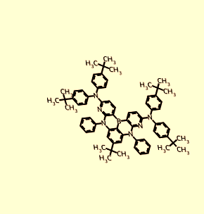 CC(C)(C)c1ccc(N(c2ccc(C(C)(C)C)cc2)c2ccc3c(n2)N(c2ccccc2)c2cc(C(C)(C)C)cc4c2B3c2ccc(N(c3ccc(C(C)(C)C)cc3)c3ccc(C(C)(C)C)cc3)nc2N4c2ccccc2)cc1